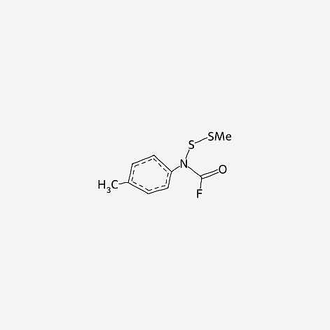 CSSN(C(=O)F)c1ccc(C)cc1